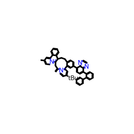 C=C1CC2C(CCc3ccc(-c4ccc(-c5ccccc5-c5ccccc5)c5nccnc45)cc3-c3cc(C(C)(C)C)cc[n+]31)c1ccccc1-c1cc(C)cc[n+]12